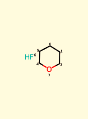 C1CCOCC1.F